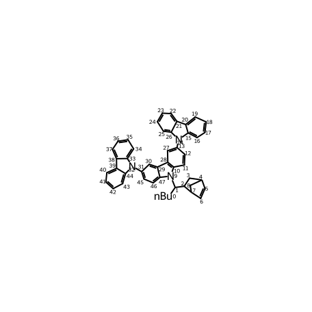 CCCCC(C1CC2C=CC1C2)n1c2ccc(-n3c4ccccc4c4ccccc43)cc2c2cc(-n3c4ccccc4c4ccccc43)ccc21